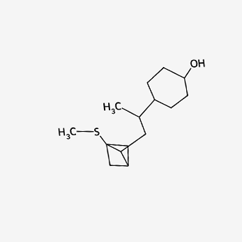 CSC12CC(C1)C2CC(C)C1CCC(O)CC1